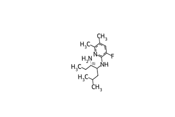 CC[C@H](N)C(CC(C)C)Nc1nc(C)c(C)cc1F